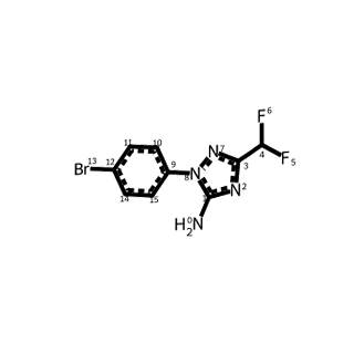 Nc1nc(C(F)F)nn1-c1ccc(Br)cc1